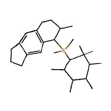 CC1CCc2cc3c(cc2C1S(C)(C)C1C(C)C(C)C(C)C(C)C1(C)C)CCC3